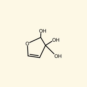 OC1OC=CC1(O)O